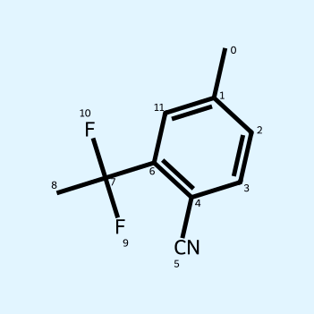 Cc1ccc(C#N)c(C(C)(F)F)c1